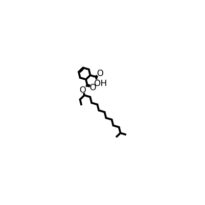 CCC(CCCCCCCCCC(C)C)OC(=O)C1CC=CCC1C(=O)O